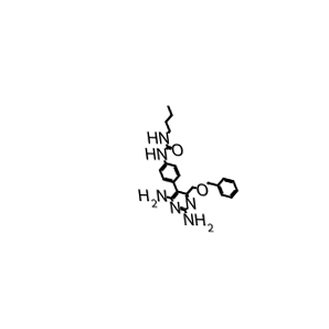 CCCCNC(=O)Nc1ccc(-c2c(N)nc(N)nc2COCc2ccccc2)cc1